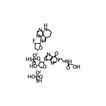 O=C(CO)NCCn1cnc2c(ncn2[C@@H]2O[C@H](COP(=O)(O)S)[C@@H](O)[C@H]2OP(=O)(S)OC[C@@H]2C[C@@H](F)[C@H](n3cc4c5c(ncnc53)NCCC4)O2)c1=O